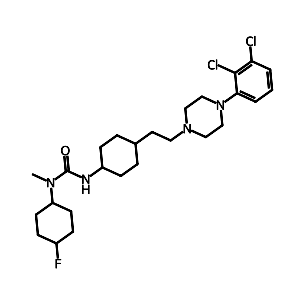 CN(C(=O)NC1CCC(CCN2CCN(c3cccc(Cl)c3Cl)CC2)CC1)C1CCC(F)CC1